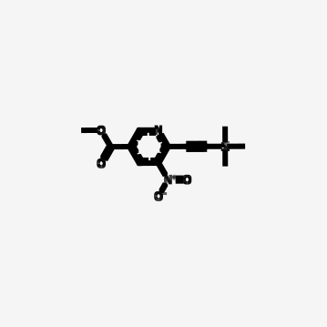 COC(=O)c1cnc(C#C[Si](C)(C)C)c([N+](=O)[O-])c1